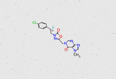 Cn1cnc2ncn(Cc3nn(C[C@@H](F)c4ccc(Cl)cc4)c(=O)o3)c(=O)c21